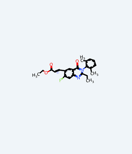 CCOC(=O)/C=C/c1cc2c(=O)n(-c3c(C)cccc3C)c(CC)nc2cc1F